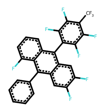 Fc1cc2c(-c3c(F)c(F)c(C(F)(F)F)c(F)c3F)c3cccc(F)c3c(-c3ccccc3)c2cc1F